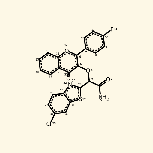 NC(=O)C(Oc1c(-c2ccc(F)cc2)oc2ccccc2c1=O)c1nc2ccc(Cl)cc2s1